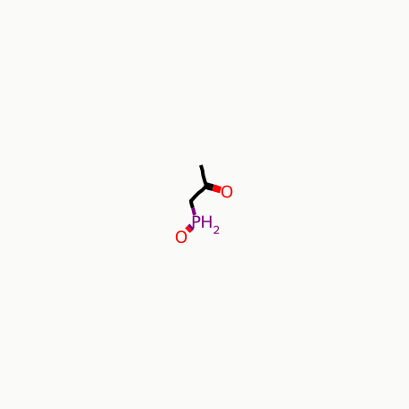 CC(=O)C[PH2]=O